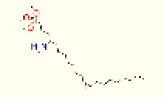 CCCCCCCC/C=C\CCCCCCCC(N)CCC[Si](OC)(OC)OC